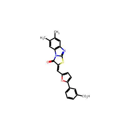 Cc1cc2nc3s/c(=C\c4ccc(-c5cccc(C(=O)O)c5)o4)c(=O)n3c2cc1C